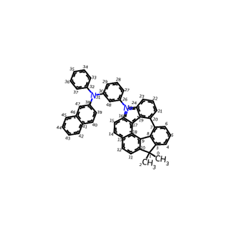 CC1(C)c2cccc3c2-c2c1ccc1ccc4c(c21)c1c-3cccc1n4-c1cccc(N(c2ccccc2)c2ccc3ccccc3c2)c1